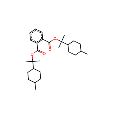 CC1CCC(C(C)(C)OC(=O)c2ccccc2C(=O)OC(C)(C)C2CCC(C)CC2)CC1